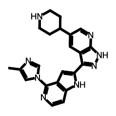 Cc1cn(-c2nccc3[nH]c(-c4n[nH]c5ncc(C6CCNCC6)cc45)cc23)cn1